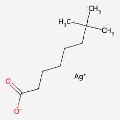 CC(C)(C)CCCCCC(=O)[O-].[Ag+]